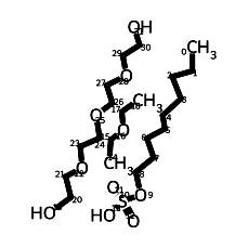 CCCCCCCCCOS(=O)(=O)O.CCOCC.OCCOCCOCCOCCO